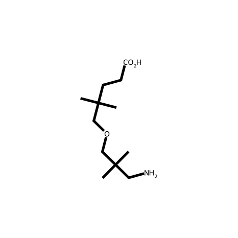 CC(C)(CN)COCC(C)(C)CCC(=O)O